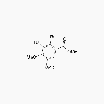 COC(=O)c1cc(OC)c(OC)c(O)c1Br